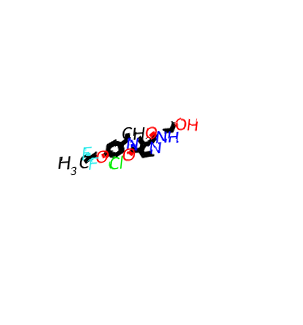 CC(c1ccc(OCC(C)(F)F)c(Cl)c1)N1Cc2c(ccnc2C(=O)NCCCO)C1=O